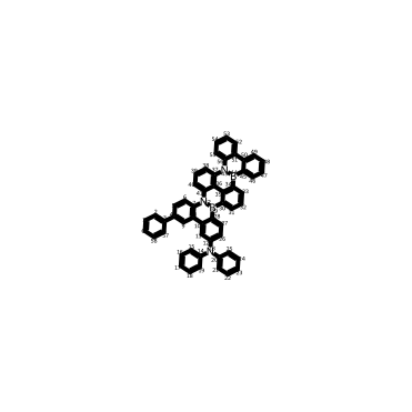 c1ccc(-c2ccc3c(c2)-c2cc(N(c4ccccc4)c4ccccc4)ccc2B2c4cccc5c4-c4c(cccc4N23)N2B5c3ccccc3-c3ccccc32)cc1